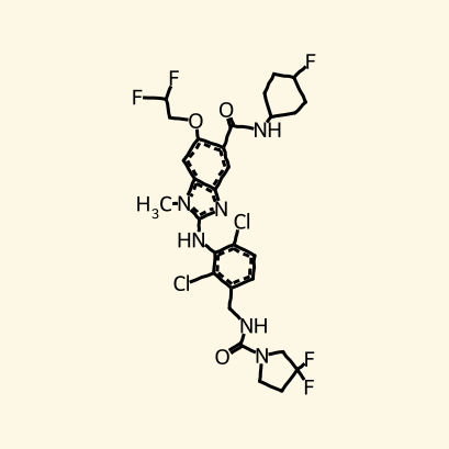 Cn1c(Nc2c(Cl)ccc(CNC(=O)N3CCC(F)(F)C3)c2Cl)nc2cc(C(=O)NC3CCC(F)CC3)c(OCC(F)F)cc21